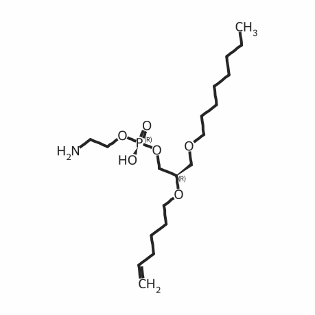 C=CCCCCO[C@H](COCCCCCCCC)CO[P@](=O)(O)OCCN